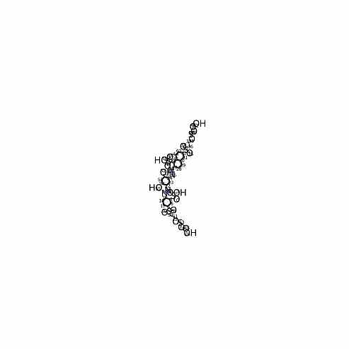 O=S(=O)(O)c1cc(S(=O)(=O)CCOSOOO)ccc1/N=N/c1cc(/N=N/c2ccc3cc(S(=O)(=O)CCOSOOO)ccc3c2S(=O)(=O)O)c(O)cc1O